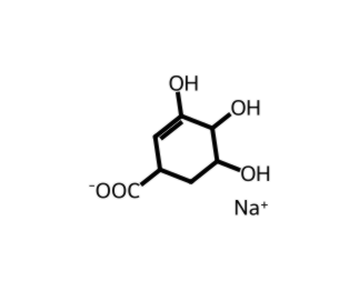 O=C([O-])C1C=C(O)C(O)C(O)C1.[Na+]